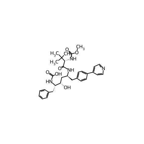 COC(=O)N[C@H](C(=O)N[C@@H](Cc1ccc(-c2ccncc2)cc1)C[C@H](O)[C@H](Cc1ccccc1)NC(=O)O)C(C)(C)C